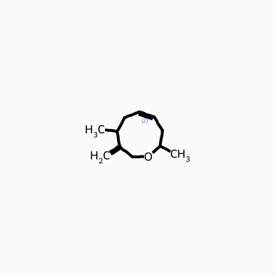 C=C1COC(C)C/C=C\CC1C